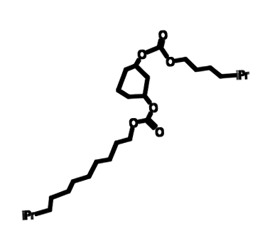 CC(C)CCCCCCCCCOC(=O)OC1CCCC(OC(=O)OCCCCC(C)C)C1